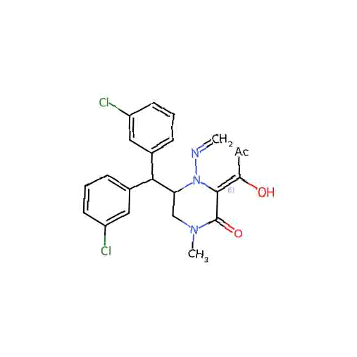 C=NN1/C(=C(/O)C(C)=O)C(=O)N(C)CC1C(c1cccc(Cl)c1)c1cccc(Cl)c1